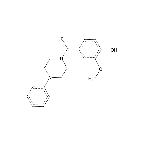 COc1cc(C(C)N2CCN(c3ccccc3F)CC2)ccc1O